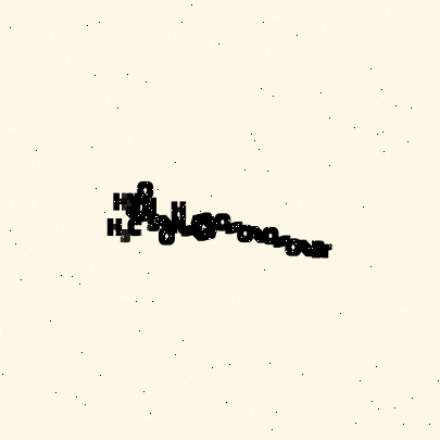 Cc1c[nH]c(=O)nc1SCC(=O)NCc1ccc(OCCOCCOCCOCCBr)cc1